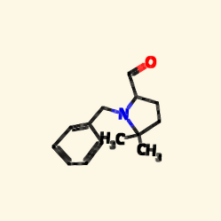 CC1(C)CCC(C=O)N1Cc1ccccc1